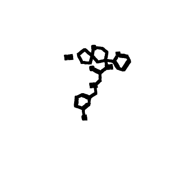 Cl.O=C(CNCc1cccc(Cl)c1)NC1(c2ccccn2)CCOC2(CCCC2)C1